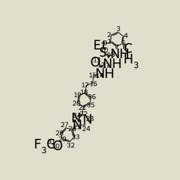 CCc1cccc(C)c1NC(=S)NC(=O)NCCCc1ccc(-c2ncn(-c3ccc(OC(F)(F)F)cc3)n2)cc1